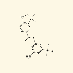 CC(Sc1nc(N)cc(C(F)(F)F)n1)c1cc2c(cn1)NCC2(C)C